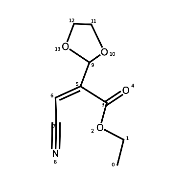 CCOC(=O)C(=CC#N)C1OCCO1